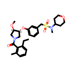 CCc1cccc(C)c1C(=O)N1C[C@@H](OC)[C@H](Oc2cccc(CS(=O)(=O)N(C)C3CCOCC3)c2)C1